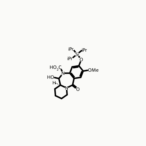 COc1cc2c(cc1O[Si](C(C)C)(C(C)C)C(C)C)N(C(=O)O)C(O)[C@@H]1CCCCN1C2=O